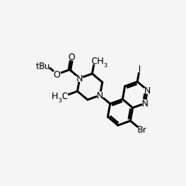 CC1CN(c2ccc(Br)c3nnc(I)cc23)CC(C)N1C(=O)OC(C)(C)C